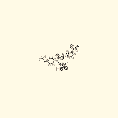 CC(C)Cc1ccc(C(C)C(=O)OC[n+]2cccc(C(=O)N(C)C)c2)cc1.CS(=O)(=O)O